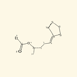 CCC(=O)OC(C)CCC=C1CCCC1